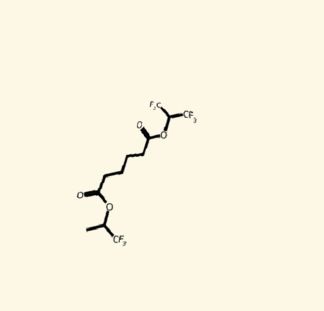 CC(OC(=O)CCCCC(=O)OC(C(F)(F)F)C(F)(F)F)C(F)(F)F